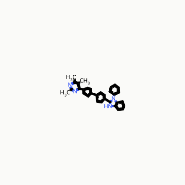 Cc1nc(C)c(C)c(-c2ccc(-c3ccc(C4Nc5ccccc5N4c4ccccc4)cc3)cc2)n1